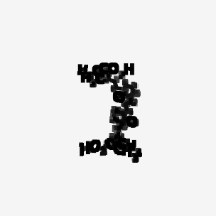 CC(C)(CCCCC1CCCC(CCCC2CCCC(CCCCC(C)(C)C(=O)O)C2=O)C1=O)C(=O)O